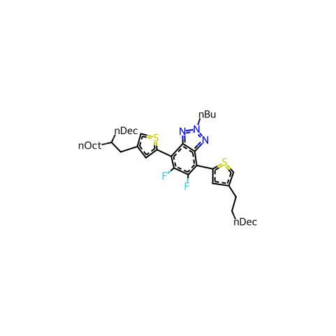 CCCCCCCCCCCCc1csc(-c2c(F)c(F)c(-c3cc(CC(CCCCCCCC)CCCCCCCCCC)cs3)c3nn(CCCC)nc23)c1